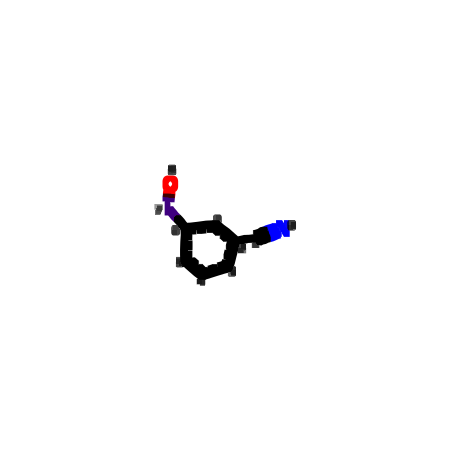 N#Cc1cc[c]c(I=O)c1